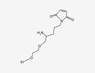 CCOCCOCC(N)CCCN1C(=O)C=CC1=O